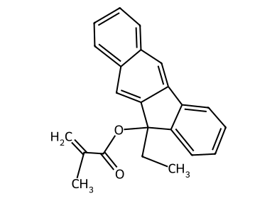 C=C(C)C(=O)OC1(CC)c2ccccc2-c2cc3ccccc3cc21